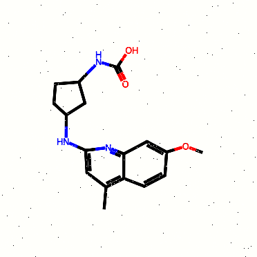 COc1ccc2c(C)cc(NC3CCC(NC(=O)O)C3)nc2c1